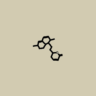 C=C1C=CCC(CCC2C(C)C=CC3=CC(C)CCC32)O1